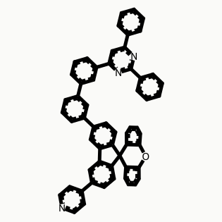 c1ccc(-c2cc(-c3cccc(-c4cccc(-c5ccc6c(c5)-c5cc(-c7ccncc7)ccc5C65c6ccccc6Oc6ccccc65)c4)c3)nc(-c3ccccc3)n2)cc1